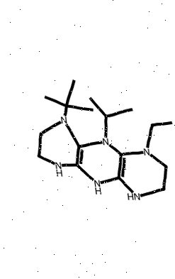 CCN1CCNC2=C1N(C(C)C)C1=C(NCCN1C(C)(C)C)N2